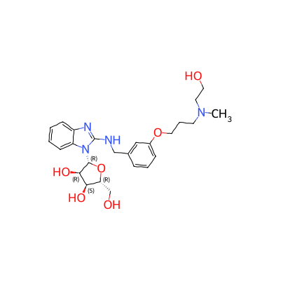 CN(CCO)CCCOc1cccc(CNc2nc3ccccc3n2[C@@H]2O[C@H](CO)[C@@H](O)[C@H]2O)c1